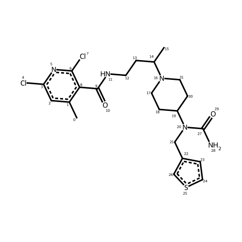 Cc1cc(Cl)nc(Cl)c1C(=O)NCCC(C)N1CCC(N(Cc2ccsc2)C(N)=O)CC1